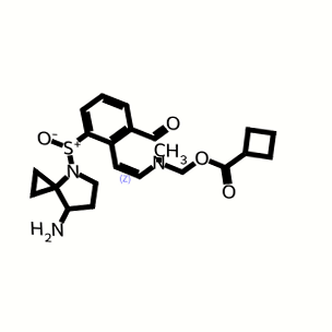 CN(/C=C\c1c(C=O)cccc1[S+]([O-])N1CCC(N)C12CC2)COC(=O)C1CCC1